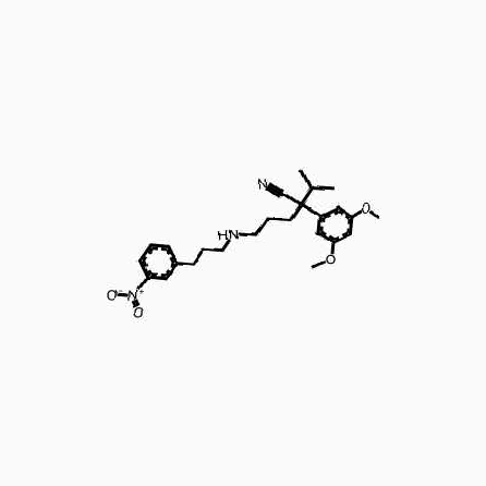 COc1cc(OC)cc(C(C#N)(CCCNCCCc2cccc([N+](=O)[O-])c2)C(C)C)c1